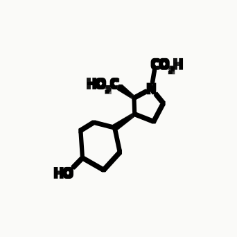 O=C(O)[C@@H]1[C@H](C2CCC(O)CC2)CCN1C(=O)O